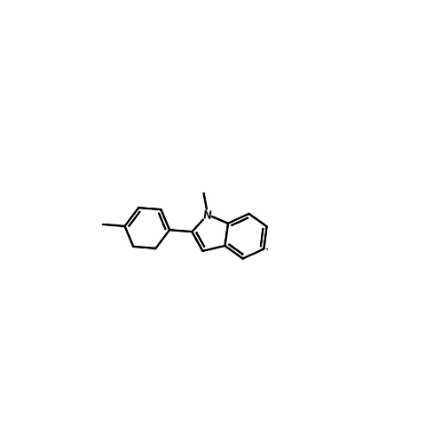 CC1=CC=C(c2cc3c[c]ccc3n2C)CC1